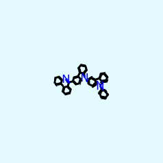 c1ccc(-n2c3ccccc3c3cc(-n4c5ccccc5c5cc(-c6nc7ccccc7c7ccccc67)ccc54)ccc32)cc1